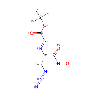 CC(C)(C)OC(=O)N=N[C@@H](CN=[N+]=[N-])C(=O)N=O